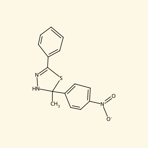 CC1(c2ccc([N+](=O)[O-])cc2)NN=C(c2ccccc2)S1